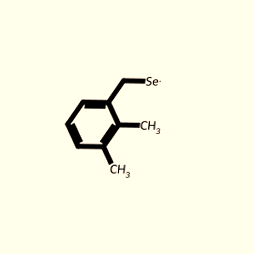 Cc1cccc(C[Se])c1C